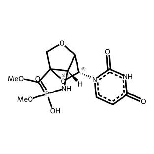 COCC12COC([C@H](n3ccc(=O)[nH]c3=O)O1)[C@@H]2NP(=O)(O)OC